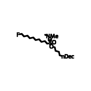 CCCCCCCCCCCCCCOS(=O)(=O)CCCCCCCCCCF.CNC